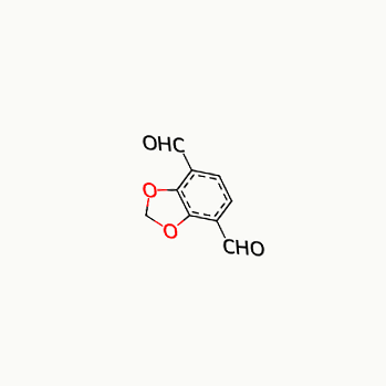 O=Cc1ccc(C=O)c2c1OCO2